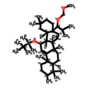 COCOC(C(C)C)[C@]12CCC(C)(C)C[C@H]1[C@H]1[C@H](O[Si](C)(C)C(C)(C)C)C=C3[C@@]4(C)CC[C@H](C)C(C)(C)[C@@H]4CC[C@@]3(C)[C@]1(C)CC2